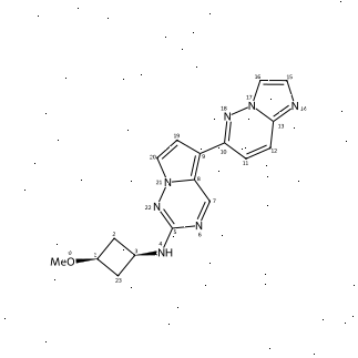 CO[C@H]1C[C@@H](Nc2ncc3c(-c4ccc5nccn5n4)ccn3n2)C1